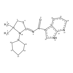 CC1(C)CS/C(=N\C(=O)c2c[nH]c3ncccc23)N1C1CCCCC1